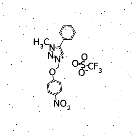 Cn1n[n+](COc2ccc([N+](=O)[O-])cc2)cc1-c1ccccc1.O=S(=O)([O-])C(F)(F)F